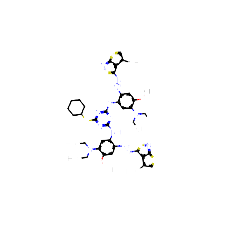 CCN(CC)c1cc(Nc2nc(Nc3cc(N(CC)CC)c(OC)cc3/N=N/c3snc4scc(C)c34)nc(SC3CCCCC3)n2)c(/N=N/c2snc3scc(C)c23)cc1OC